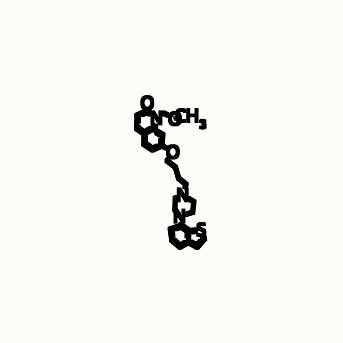 COCn1c(=O)ccc2ccc(OCCCCN3CCN(c4cccc5ccsc45)CC3)cc21